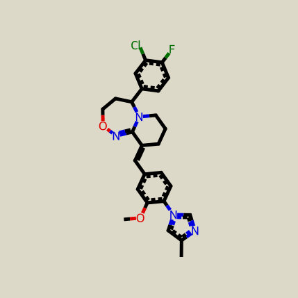 COc1cc(/C=C2\CCCN3C2=NOCCC3c2ccc(F)c(Cl)c2)ccc1-n1cnc(C)c1